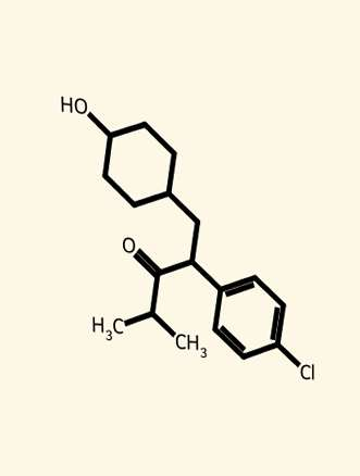 CC(C)C(=O)C(CC1CCC(O)CC1)c1ccc(Cl)cc1